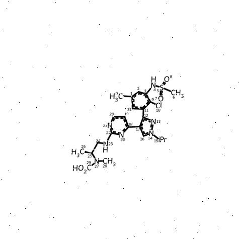 Cc1cc(NS(C)(=O)=O)c(Cl)c(-c2nn(C(C)C)cc2-c2ccnc(NC[C@H](C)N(C)C(=O)O)n2)c1